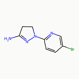 NC1=NN(c2ccc(Br)cn2)CC1